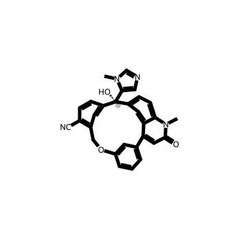 Cn1cncc1[C@]1(O)c2ccc(C#N)c(c2)COc2cccc(c2)-c2cc(=O)n(C)c3ccc1cc23